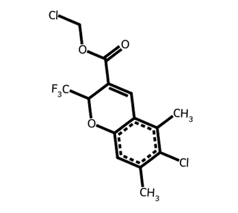 Cc1cc2c(c(C)c1Cl)C=C(C(=O)OCCl)C(C(F)(F)F)O2